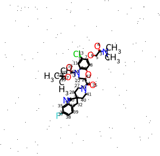 CN(C)C(=O)COc1cc2c(cc1Cl)N(C(=O)OC(C)(C)C)CC(C(=O)N1CCC(C#N)(Cc3ccc(F)cc3)CC1)O2